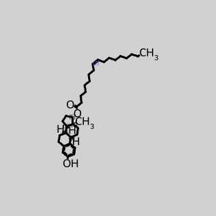 CCCCCCCC/C=C\CCCCCCCC(=O)O[C@H]1CC[C@H]2[C@@H]3CCc4cc(O)ccc4[C@H]3CC[C@]12C